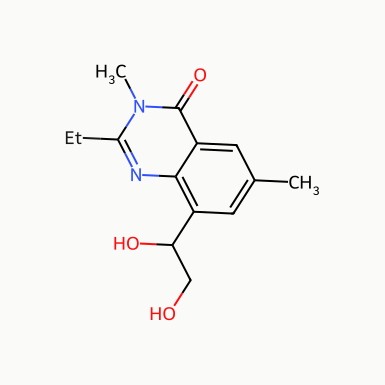 CCc1nc2c(C(O)CO)cc(C)cc2c(=O)n1C